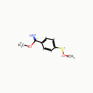 COSc1ccc(C(=N)OC)cc1